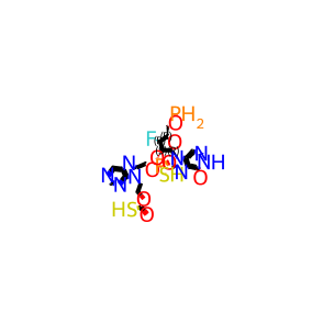 O=C(S)OCCn1c(COP(=O)(S)O[C@@H]2[C@H](F)[C@@H](COP)O[C@H]2n2cnc3c(=O)[nH]ncc32)nc2cncnc21